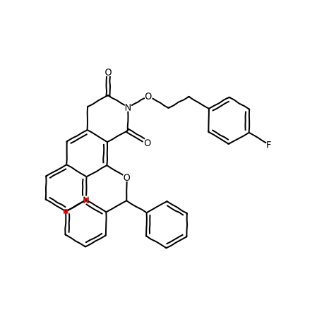 O=C1Cc2cc3cccnc3c(OC(c3ccccc3)c3ccccc3)c2C(=O)N1OCCc1ccc(F)cc1